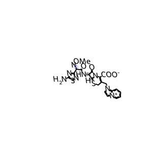 CO/N=C(\C(=O)N[C@@H]1C(=O)N2C(C(=O)[O-])=C(Cn3cc[n+]4ccccc34)CS[C@@H]12)c1nsc(N)n1